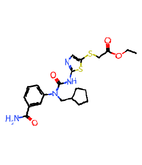 CCOC(=O)CSc1cnc(NC(=O)N(CC2CCCC2)c2cccc(C(N)=O)c2)s1